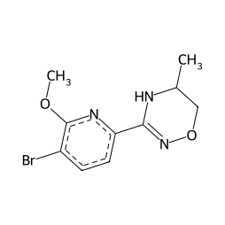 COc1nc(C2=NOCC(C)N2)ccc1Br